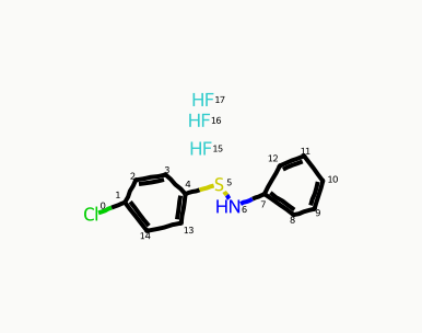 Clc1ccc(SNc2ccccc2)cc1.F.F.F